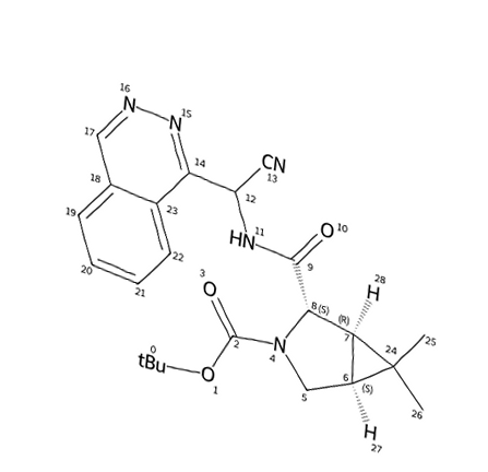 CC(C)(C)OC(=O)N1C[C@H]2[C@@H]([C@H]1C(=O)NC(C#N)c1nncc3ccccc13)C2(C)C